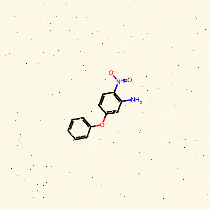 Nc1cc(Oc2ccccc2)ccc1[N+](=O)[O-]